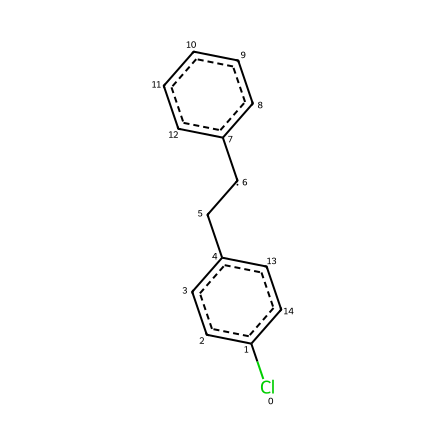 Clc1ccc(C[CH]c2ccccc2)cc1